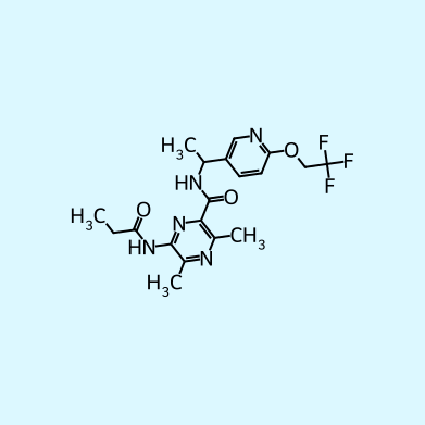 CCC(=O)Nc1nc(C(=O)NC(C)c2ccc(OCC(F)(F)F)nc2)c(C)nc1C